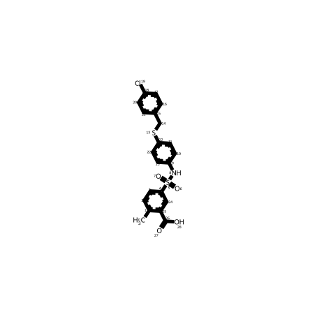 Cc1ccc(S(=O)(=O)Nc2ccc(SCc3ccc(Cl)cc3)cc2)cc1C(=O)O